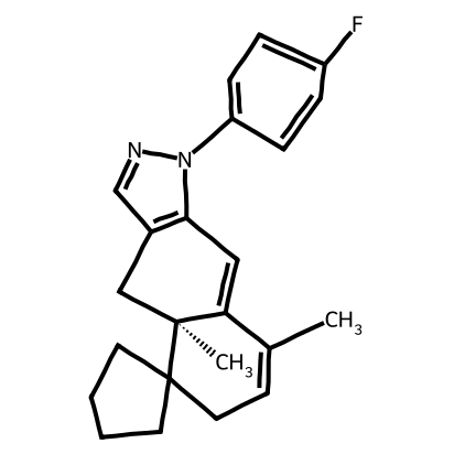 CC1=CCC2(CCCC2)[C@@]2(C)Cc3cnn(-c4ccc(F)cc4)c3C=C12